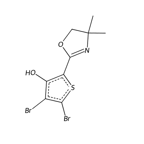 CC1(C)COC(c2sc(Br)c(Br)c2O)=N1